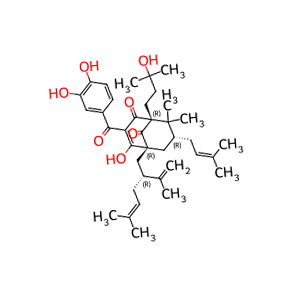 C=C(C)[C@H](CC=C(C)C)C[C@@]12C[C@@H](CC=C(C)C)C(C)(C)[C@@](CCC(C)(C)O)(C(=O)C(C(=O)c3ccc(O)c(O)c3)=C1O)C2=O